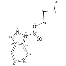 CCCCOC(=O)n1ncc2ccccc21